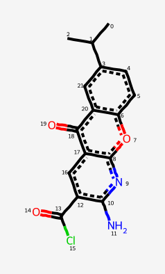 CC(C)c1ccc2oc3nc(N)c(C(=O)Cl)cc3c(=O)c2c1